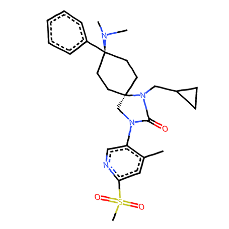 Cc1cc(S(C)(=O)=O)ncc1N1C[C@]2(CC[C@](c3ccccc3)(N(C)C)CC2)N(CC2CC2)C1=O